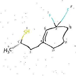 C[C@H](S)CC1=CC(F)(F)CCC1